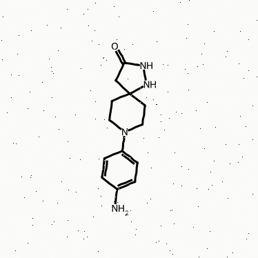 Nc1ccc(N2CCC3(CC2)CC(=O)NN3)cc1